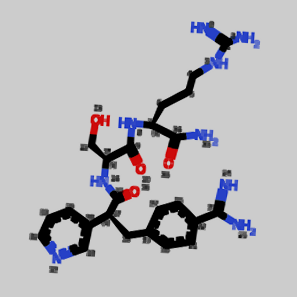 N=C(N)NCCC[C@H](NC(=O)[C@H](CO)NC(=O)[C@@H](Cc1ccc(C(=N)N)cc1)c1cccnc1)C(N)=O